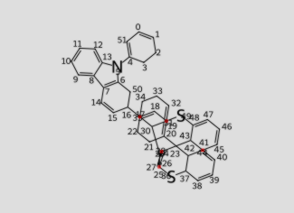 C1=CCCC(n2c3c(c4ccccc42)C=CC(C2=CC4=C(CC2)C2(c5c(cccc5C5C=CCCC5)SC5C=CC=CC52)C2CC=CC=C2S4)C3)=C1